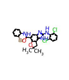 CC1(C)Cc2c(c(C(=O)Nc3ccccc3Br)cc3nc(Nc4c(Cl)cccc4Cl)[nH]c23)O1